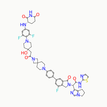 O=C1CC[C@H](Nc2cc(F)c(N3CCC(O)(CC(=O)N4CC5(CCN(c6ccc(-c7cc(F)c8c(c7)C(=O)N(C(C(=O)Nc7nccs7)c7ncn9c7CCC9)C8)cc6)CC5)C4)CC3)c(F)c2)C(=O)N1